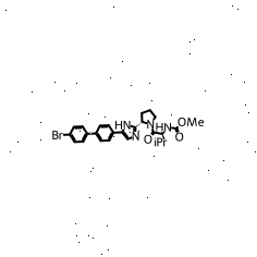 COC(=O)N[C@H](C(=O)N1CCC[C@H]1c1ncc(-c2ccc(-c3ccc(Br)cc3)cc2)[nH]1)C(C)C